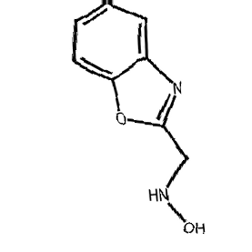 ONCc1nc2ccccc2o1